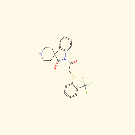 O=C(CSc1ccccc1C(F)(F)F)N1C(=O)C2(CCNCC2)c2ccccc21